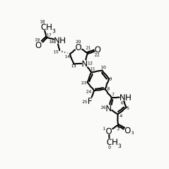 COC(=O)c1c[nH]c(-c2ccc(N3C[C@H](CNC(C)=O)OC3=O)cc2F)n1